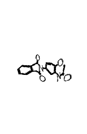 CN1C(=O)COc2ccc(N3C(=O)c4ccccc4C3=O)cc21